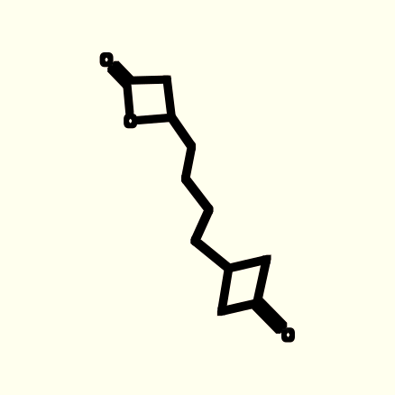 O=C1CC(CCCCC2CC(=O)O2)C1